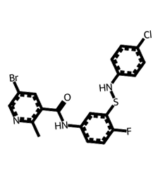 Cc1ncc(Br)cc1C(=O)Nc1ccc(F)c(SNc2ccc(Cl)cc2)c1